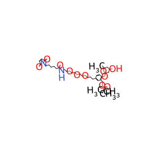 CC1CC(O)CC(Oc2ccc(CCCOCCOCCOCCNC(=O)CCCCCN3C(=O)C=CC3=O)cc2COC(=O)C(C)(C)C)O1